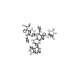 C=C(F)C(=O)N1CCN(c2c(C#N)c(OC[C@@H]3CCCN3C)nc3c2CCN(C2=CN=CN4CCN=C24)C3)C[C@@H]1CC#N